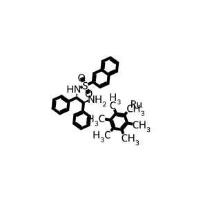 Cc1c(C)c(C)c(C)c(C)c1C.N[C@@H](c1ccccc1)[C@@H](NS(=O)(=O)c1ccc2ccccc2c1)c1ccccc1.[Ru]